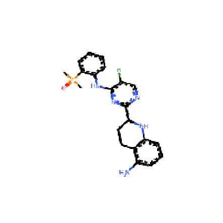 CP(C)(=O)c1ccccc1Nc1nc(C2CCc3c(N)cccc3N2)ncc1Cl